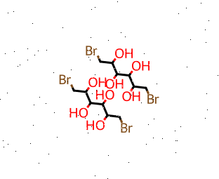 OC(CBr)C(O)C(O)C(O)CBr.OC(CBr)C(O)C(O)C(O)CBr